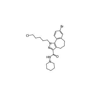 O=C(NN1CCCCC1)c1nn(CCCCCCl)c2c1CCCc1cc(Br)ccc1-2